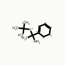 CC(C)(C)SC(C)(N)C1=CC=CCC1